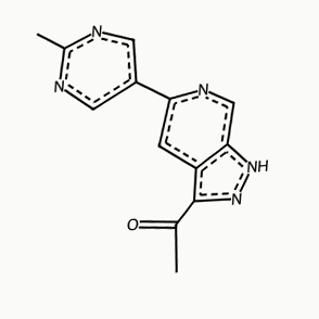 CC(=O)c1n[nH]c2cnc(-c3cnc(C)nc3)cc12